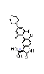 C/C(O)=C1\C(=O)Nc2cc(Cl)c(-c3c(F)cc(N4CCOCC4)cc3F)cc21